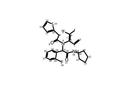 C=C/C(=C(\C)F)N(C(=O)Cc1cccs1)C(C(=O)NC1CCCC1)c1ccccc1F